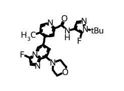 Cc1cnc(C(=O)Nc2cnn(C(C)(C)C)c2F)cc1-c1cc(N2CCOCC2)c2ncc(F)n2c1